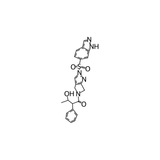 CC(O)C(C(=O)N1Cc2cn(S(=O)(=O)c3ccc4cn[nH]c4c3)nc2C1)c1ccccc1